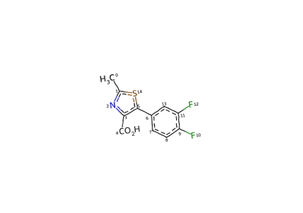 Cc1nc(C(=O)O)c(-c2ccc(F)c(F)c2)s1